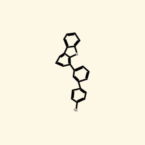 [2H]c1ccc(-c2cccc(-c3cccc4c3sc3ccccc34)c2)cc1